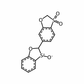 O=S1(=O)COc2cc(C3Oc4ccccc4[S+]3[O-])ccc21